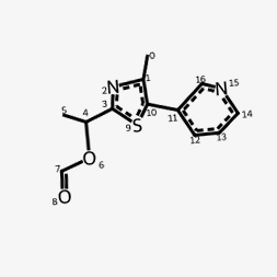 Cc1nc(C(C)OC=O)sc1-c1cccnc1